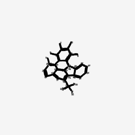 Cc1c(C)c(C)c2c(c1C)c1c3c(cc[n+]1C)cc(C(F)(F)F)c1c4ccccc4n2c13